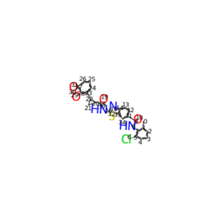 Cc1cccc(Cl)c1NC(=O)c1ccc2nc(NC(=O)C3CC3c3cccc4c3OCO4)sc2c1